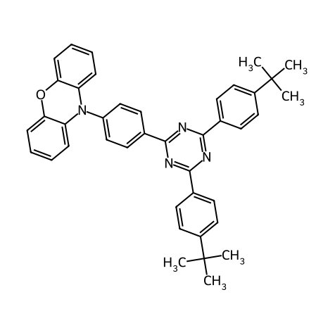 CC(C)(C)c1ccc(-c2nc(-c3ccc(N4c5ccccc5Oc5ccccc54)cc3)nc(-c3ccc(C(C)(C)C)cc3)n2)cc1